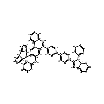 c1ccc(-n2c(-c3ccc(-c4ccc(-c5nc6ccccc6c6cc7c(cc56)Oc5ccccc5C75c6ccccc6-c6ccccc65)cc4)cc3)nc3ccccc32)cc1